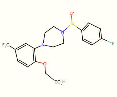 O=C(O)COc1ccc(C(F)(F)F)cc1N1CCN([S+]([O-])c2ccc(F)cc2)CC1